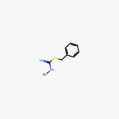 N#CNC(=N)SCc1ccccc1